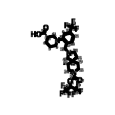 O=C(O)[C@H]1CCCN(c2cc(C(F)(F)F)ccc2CN2CCC3(CCN(C(=O)OC(C(F)(F)F)C(F)(F)F)CC3)C2)C1